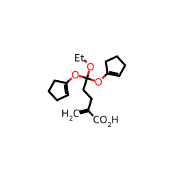 C=C(CCC(OCC)(OC1=CCCC1)OC1=CCCC1)C(=O)O